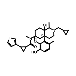 Cc1ccc(O)c(O)c1[C@]12CCN(CC3CC3)C(C)C1(O)CCC(N(C)C(=O)C1CC1c1ccoc1)C2